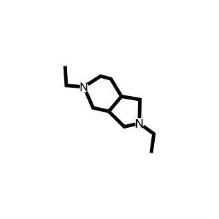 CCN1CCC2CN(CC)CC2C1